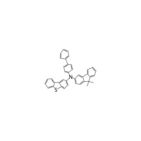 CC1(C)c2ccccc2-c2cc(N(c3ccc(-c4ccccc4)cc3)c3ccc4sc5ccccc5c4c3)ccc21